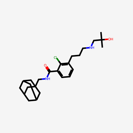 CC(C)(O)CNCCCc1cccc(C(=O)NCC23CC4CC(CC(C4)C2)C3)c1Cl